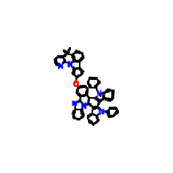 CC1(C)c2cccnc2-n2c3cc(Oc4ccc5c(c4)c4nc6ccccc6n4c4c5c5c(c6ccccc6n5-c5ccccc5)c5c4c4ccccc4n5-c4ccccc4)ccc3c3cccc1c32